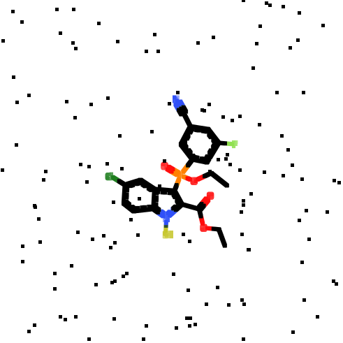 CCOC(=O)c1c(P(=O)(OCC)c2cc(F)cc(C#N)c2)c2cc(Cl)ccc2n1S